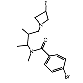 CC(CN1CC(F)C1)C(C)N(C)C(=O)c1ccc(Br)cc1